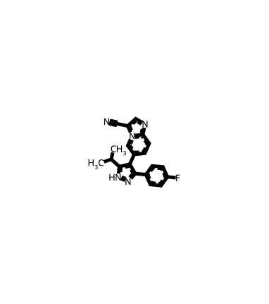 CC(C)c1[nH]nc(-c2ccc(F)cc2)c1-c1ccc2ncc(C#N)n2c1